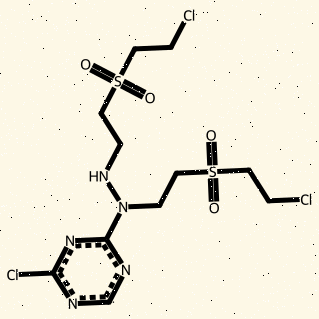 O=S(=O)(CCCl)CCNN(CCS(=O)(=O)CCCl)c1n[c]nc(Cl)n1